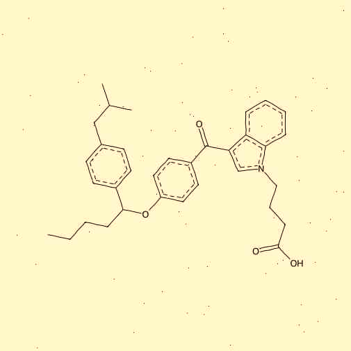 CCCCC(Oc1ccc(C(=O)c2cn(CCCC(=O)O)c3ccccc23)cc1)c1ccc(CC(C)C)cc1